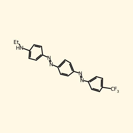 CCNc1ccc(N=Nc2ccc(N=Nc3ccc(C(F)(F)F)cc3)cc2)cc1